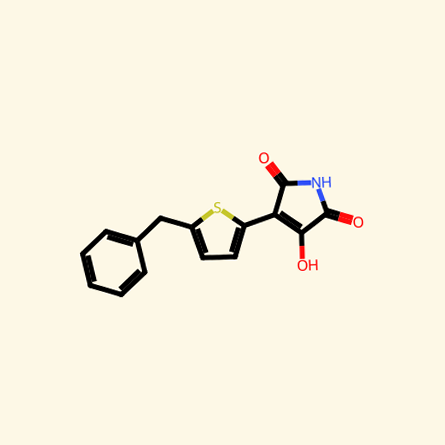 O=C1NC(=O)C(c2ccc(Cc3ccccc3)s2)=C1O